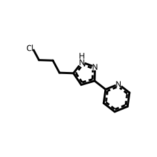 ClCCCc1cc(-c2ccccn2)n[nH]1